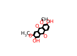 COc1cc2c(cc1O)C(=O)c1ccc(O)c(OC)c1C2=O